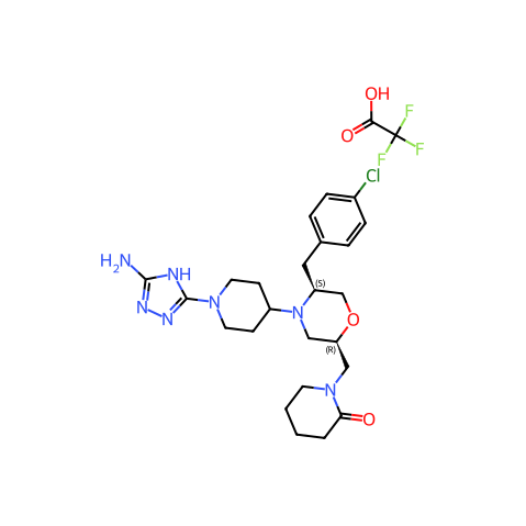 Nc1nnc(N2CCC(N3C[C@H](CN4CCCCC4=O)OC[C@@H]3Cc3ccc(Cl)cc3)CC2)[nH]1.O=C(O)C(F)(F)F